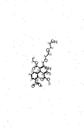 CCOC(=O)C1=C(COCCOCCO)NC(C)=C(C(=O)OC)C1c1cccc([N+](=O)[O-])c1